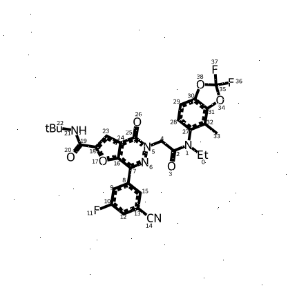 CCN(C(=O)Cn1nc(-c2cc(F)cc(C#N)c2)c2oc(C(=O)NC(C)(C)C)cc2c1=O)c1ccc2c(c1C)OC(F)(F)O2